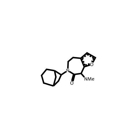 CNC1C(=O)N(C2CC3CCCC2C3)CCc2ccoc21